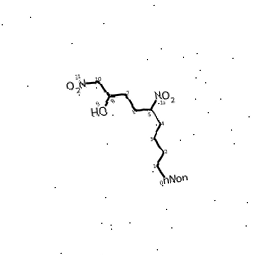 CCCCCCCCCCCCCC(CCC(O)C[N+](=O)[O-])[N+](=O)[O-]